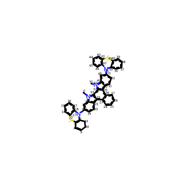 Cn1c2cc(N3C4=C(C=CCC4)Sc4ccccc43)ccc2c2c3ccccc3c3c4ccc(N5c6ccccc6Sc6ccccc65)cc4n(C)c3c21